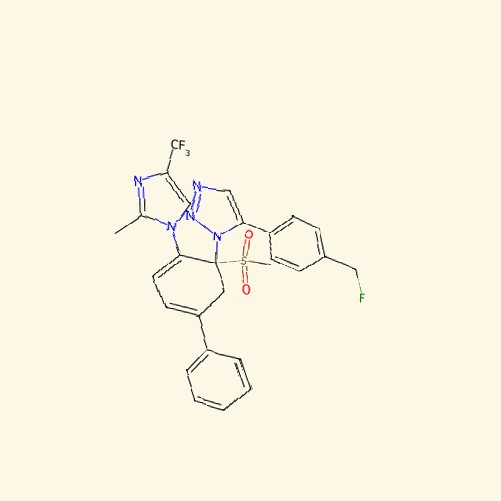 Cc1nc(C(F)(F)F)cn1C1=CC=C(c2ccccc2)CC1(n1nncc1-c1ccc(CF)cc1)S(C)(=O)=O